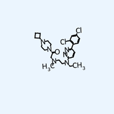 CCN(CCN(C)CC(=O)N1CCN(C2CCC2)CC1)c1ccc(-c2ccc(Cl)cc2Cl)nn1